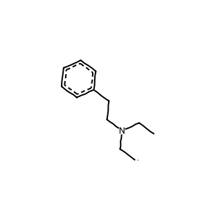 [CH2]CN(CC)CCc1ccccc1